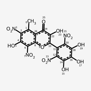 Cc1c([N+](=O)[O-])c(O)c([N+](=O)[O-])c2oc(-c3c([N+](=O)[O-])c(O)c(O)c(O)c3[N+](=O)[O-])c(O)c(=O)c12